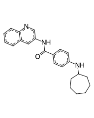 O=C(Nc1cnc2ccccc2c1)c1ccc(NC2CCCCCC2)cc1